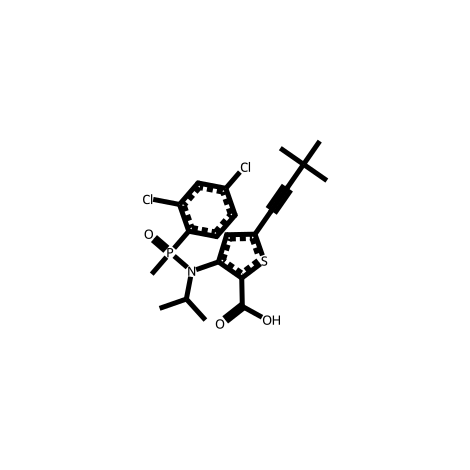 CC(C)N(c1cc(C#CC(C)(C)C)sc1C(=O)O)P(C)(=O)c1ccc(Cl)cc1Cl